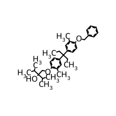 CCC(CC)(c1ccc(OCc2ccccc2)c(C)c1)c1ccc(OCC(O)(C(C)C)C(C)C)c(C)c1